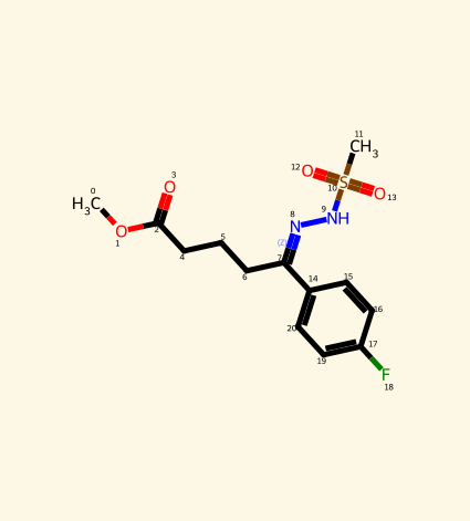 COC(=O)CCC/C(=N/NS(C)(=O)=O)c1ccc(F)cc1